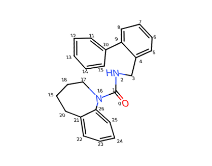 O=C(NCc1ccccc1-c1ccccc1)N1CCCCc2ccccc21